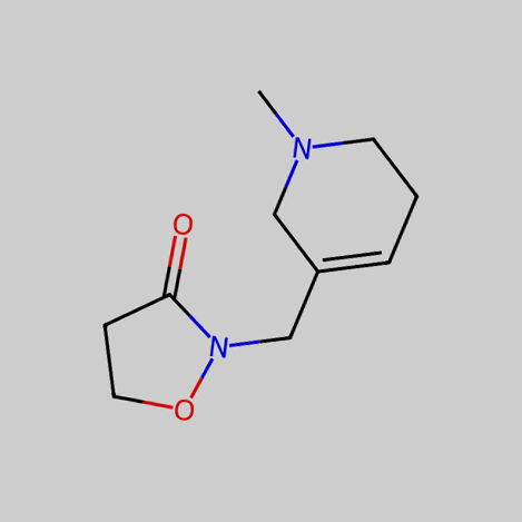 CN1CCC=C(CN2OCCC2=O)C1